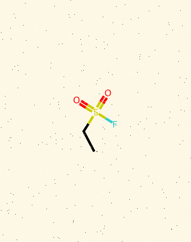 [CH2]CS(=O)(=O)F